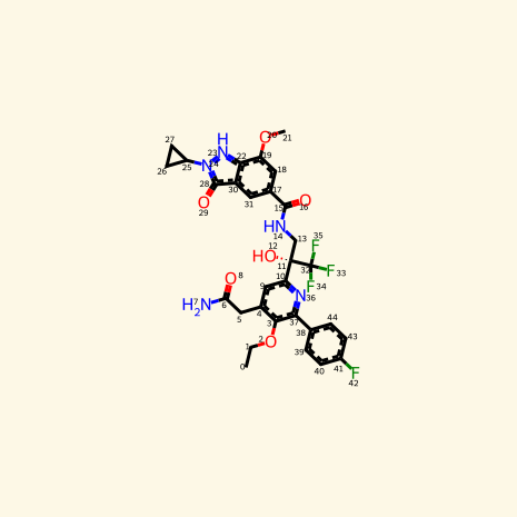 CCOc1c(CC(N)=O)cc([C@@](O)(CNC(=O)c2cc(OC)c3[nH]n(C4CC4)c(=O)c3c2)C(F)(F)F)nc1-c1ccc(F)cc1